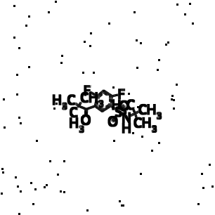 CC(C)(C)NS(=O)(=O)c1cc(C(=O)C(C)(C)C)c(F)cc1F